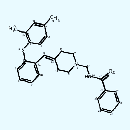 Cc1ccc(Sc2ccccc2C=C2CCN(CNC(=O)c3ccccc3)CC2)c(C)c1